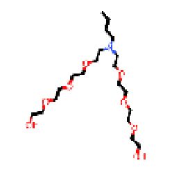 CCCCN(CCOCCOCCOCCO)CCOCCOCCOCCO